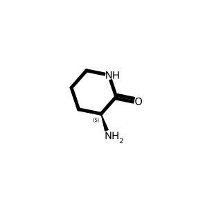 N[C@H]1CCCNC1=O